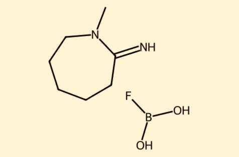 CN1CCCCCC1=N.OB(O)F